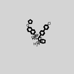 N[C@H]1CC2CCC1N2C(=O)[C@H](NS(=O)(=O)c1ccc2cc(OC3CCCC3)ccc2c1)C(F)(F)c1ccc(-c2ccc(Cl)cc2)cc1